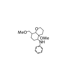 COCC1CCC(Nc2ccccc2)C2(OC)CCCOC12